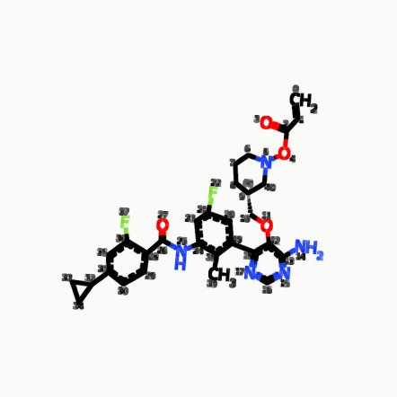 C=CC(=O)ON1CCC[C@@H](COc2c(N)ncnc2-c2cc(F)cc(NC(=O)c3ccc(C4CC4)cc3F)c2C)C1